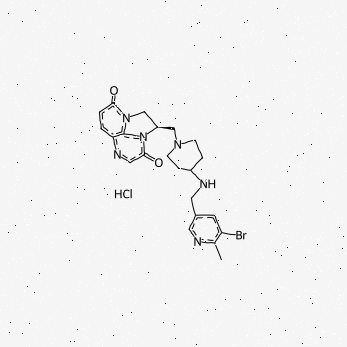 Cc1ncc(CNC2CCN(C[C@@H]3Cn4c(=O)ccc5ncc(=O)n3c54)CC2)cc1Br.Cl